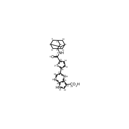 O=C(NC12CC3CC(CC(C3)C1)C2)c1ccc(-c2cnc3[nH]cc(C(=O)O)c3n2)s1